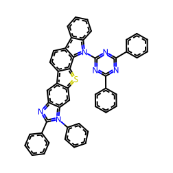 c1ccc(-c2nc(-c3ccccc3)nc(-n3c4ccccc4c4ccc5c6cc7nc(-c8ccccc8)n(-c8ccccc8)c7cc6sc5c43)n2)cc1